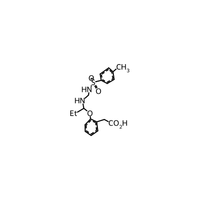 CCC(NCNS(=O)(=O)c1ccc(C)cc1)Oc1ccccc1CC(=O)O